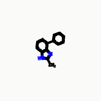 Cc1nc2c(-c3ccccc3)[c]ccc2[nH]1